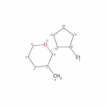 CC1CCCOC1.CCC1CCCC1